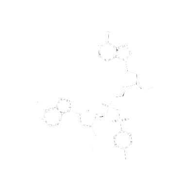 Cc1ccc(S(=O)(=O)NP(=O)(OC[C@H]2OC(n3cnc4c(N)ncnc43)C[C@H]2OC(C)C)O[C@@H]2CC(n3cnc4c(N)ncnc43)OC2COC(C)C)cc1